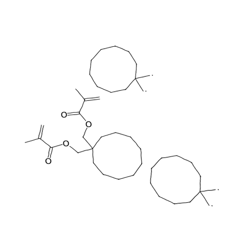 C=C(C)C(=O)OCC1(COC(=O)C(=C)C)CCCCCCCCC1.[CH2]C1([CH2])CCCCCCCCC1.[CH2]C1([CH2])CCCCCCCCC1